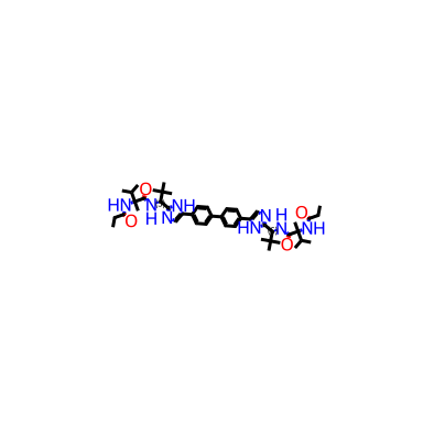 CCC(=O)NC(C)(C(=O)N[C@H](c1ncc(-c2ccc(-c3ccc(-c4cnc([C@@H](NC(=O)C(C)(NC(=O)CC)C(C)C)C(C)(C)C)[nH]4)cc3)cc2)[nH]1)C(C)(C)C)C(C)C